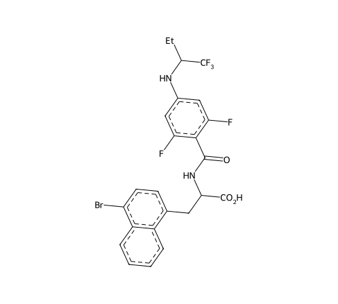 CCC(Nc1cc(F)c(C(=O)NC(Cc2ccc(Br)c3ccccc23)C(=O)O)c(F)c1)C(F)(F)F